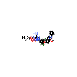 CCOC(=O)NC(=O)C(C#N)=NNc1cc(Cl)c(Oc2ccc3c(c2)CCN(Cc2ccccc2)C3=O)c(Cl)c1